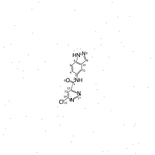 O=C(Nc1ccc2[nH]ncc2c1)c1cc(Cl)ncn1